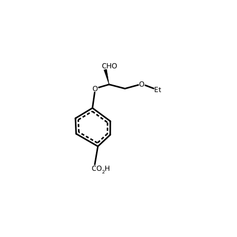 CCOC[C@H](C=O)Oc1ccc(C(=O)O)cc1